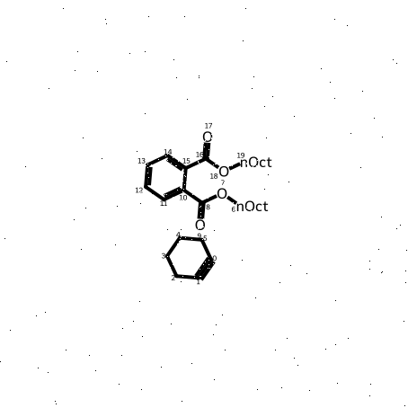 C1#CCCCC1.CCCCCCCCOC(=O)c1ccccc1C(=O)OCCCCCCCC